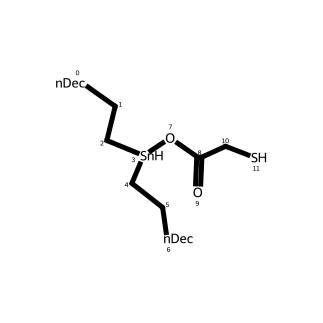 CCCCCCCCCCC[CH2][SnH]([CH2]CCCCCCCCCCC)[O]C(=O)CS